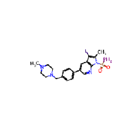 Cc1c(I)c2cc(-c3ccc(CN4CCN(C)CC4)cc3)cnc2n1S(=O)(=O)P